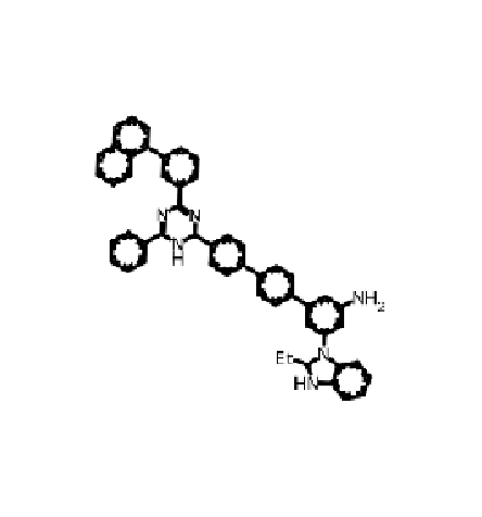 CCC1Nc2ccccc2N1c1cc(N)cc(-c2ccc(-c3ccc(C4N=C(c5cccc(-c6cccc7ccccc67)c5)N=C(c5ccccc5)N4)cc3)cc2)c1